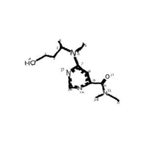 CC(CCO)N(C)c1cc(C(=O)N(C)C)ncn1